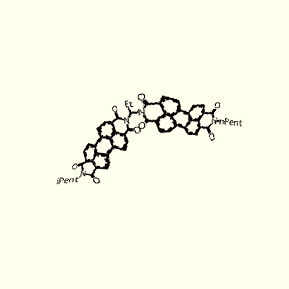 CCCCCN1C(=O)c2ccc3c4ccc5c6c(ccc(c7ccc(c2c37)C1=O)c64)C(=O)N(C(CC)N1C(=O)c2ccc3c4ccc6c7c(ccc(c8ccc(c2c38)C1=O)c74)C(=O)N(C(C)CCC)C6=O)C5=O